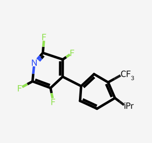 CC(C)c1ccc(-c2c(F)c(F)nc(F)c2F)cc1C(F)(F)F